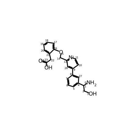 NC(CO)c1cccc(-c2ccnc(COc3ccccc3CC(=O)O)c2)c1